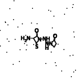 NC1C(=O)N(NNN2CCC2=O)C1=S